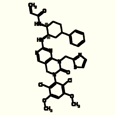 C=CC(=O)N[C@H]1CCC(c2ccccc2)C[C@H]1Nc1ncc2c(n1)N(Cc1nccs1)C(=O)N(c1c(Cl)c(OC)cc(OC)c1Cl)C2